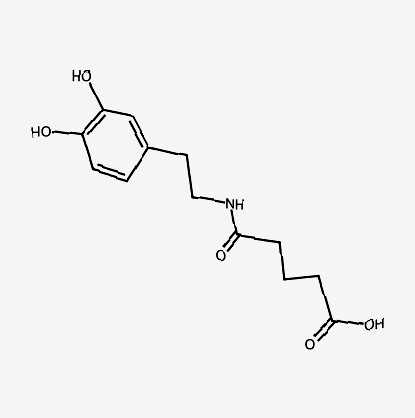 O=C(O)CCCC(=O)NCCc1ccc(O)c(O)c1